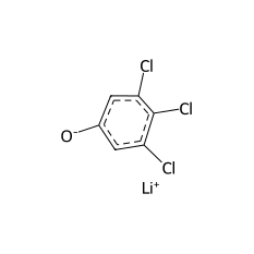 [Li+].[O-]c1cc(Cl)c(Cl)c(Cl)c1